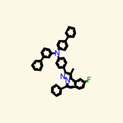 Cc1c(-c2ccc(N(c3ccc(-c4ccccc4)cc3)c3cccc(-c4ccccc4)c3)cc2)nn2c(-c3ccccc3)cc3ccc(F)cc3c12